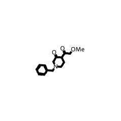 COCC(=O)C1CCN(Cc2ccccc2)CC1=O